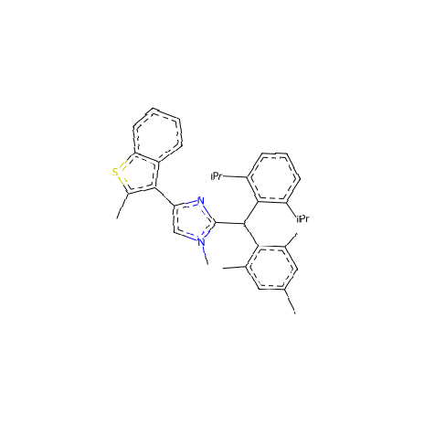 Cc1cc(C)c([C](c2c(C(C)C)cccc2C(C)C)c2nc(-c3c(C)sc4ccccc34)cn2C)c(C)c1